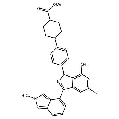 COC(=O)C1CCN(c2ccc(-n3nc(-c4cccc5nn(C)cc45)c4cc(F)cc(C)c43)cn2)CC1